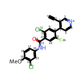 C#Cc1cnccc1-c1cc(Cl)c(C(=O)Nc2ccc(OC)c(Cl)c2)cc1F